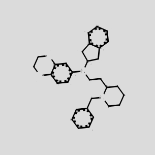 c1ccc(CN2CCCCC2CCN(c2ccc3c(c2)OCCO3)C2Cc3ccccc3C2)cc1